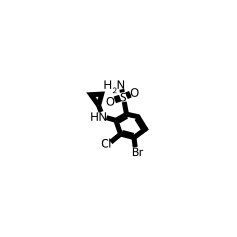 NS(=O)(=O)c1ccc(Br)c(Cl)c1NC1CC1